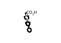 O=C(O)CN1CCN(c2ccc(C3CCCCC3)cc2)CC1